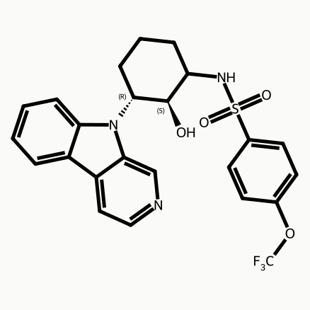 O=S(=O)(NC1CCC[C@@H](n2c3ccccc3c3ccncc32)[C@@H]1O)c1ccc(OC(F)(F)F)cc1